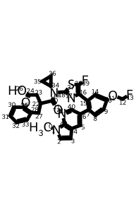 Cn1ccc2cc(-c3ccc(OCF)cc3-c3nc(N(C(=O)C(CC(=O)O)Cc4ccccc4)C4CC4)sc3F)cnc21